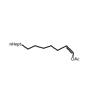 CCCCCCCCCCCC/C=C\OC(C)=O